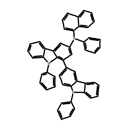 c1ccc(N(c2cc(-c3ccc4c(c3)c3ccccc3n4-c3ccccc3)c3c(c2)c2ccccc2n3-c2ccccc2)c2cccc3ccccc23)cc1